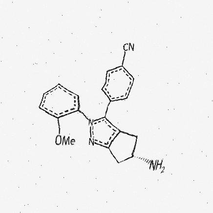 COc1ccccc1-n1nc2c(c1-c1ccc(C#N)cc1)C[C@H](N)C2